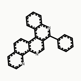 c1ccc(-c2nc3ccccc3c3c2cnc2c3ccc3cccnc32)cc1